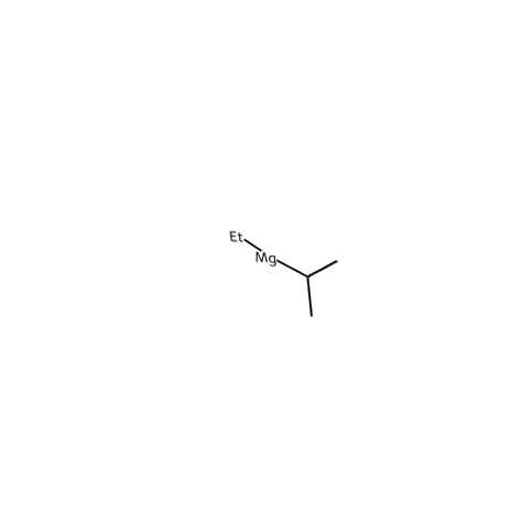 C[CH2][Mg][CH](C)C